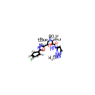 CCCC[C@@H](C(=O)C(=O)Nc1ccnn1C)N(C(=O)O)[C@H](Cc1nnc(-c2ccc(F)cc2)o1)C(C)(C)C